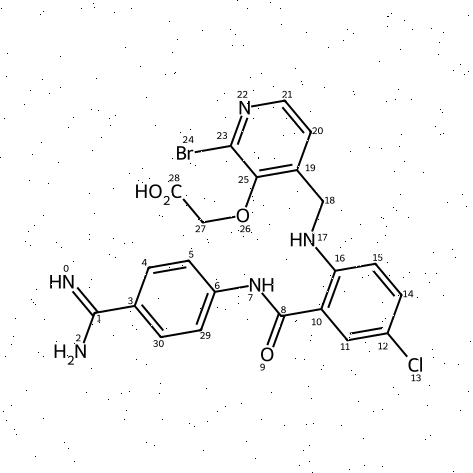 N=C(N)c1ccc(NC(=O)c2cc(Cl)ccc2NCc2ccnc(Br)c2OCC(=O)O)cc1